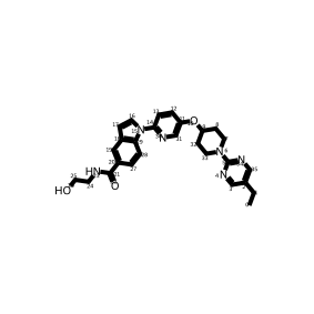 CCc1cnc(N2CCC(Oc3ccc(-n4ccc5cc(C(=O)NCCO)ccc54)nc3)CC2)nc1